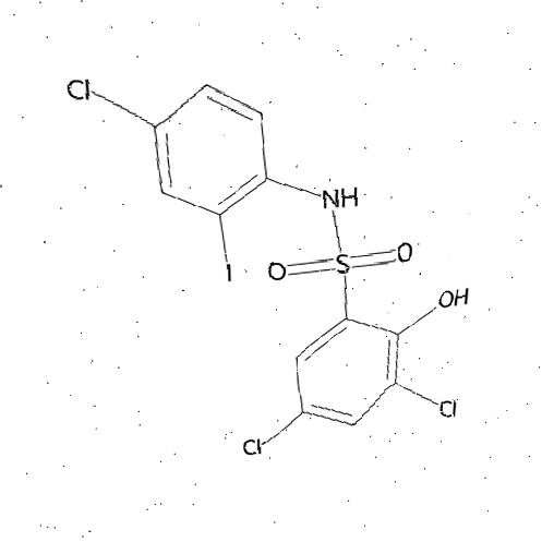 O=S(=O)(Nc1ccc(Cl)cc1I)c1cc(Cl)cc(Cl)c1O